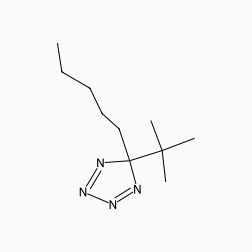 CCCCCC1(C(C)(C)C)N=NN=N1